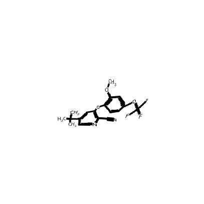 COc1cc(OC(F)(F)F)ccc1Oc1cc(C(C)(C)C)cnc1C#N